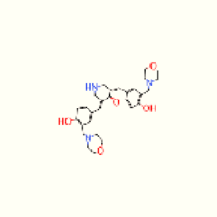 O=C1C(=Cc2ccc(O)c(CN3CCOCC3)c2)CNCC1=Cc1ccc(O)c(CN2CCOCC2)c1